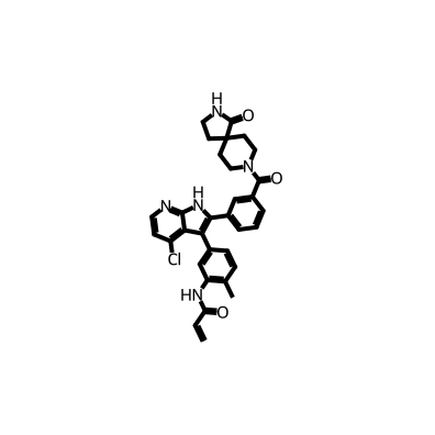 C=CC(=O)Nc1cc(-c2c(-c3cccc(C(=O)N4CCC5(CCNC5=O)CC4)c3)[nH]c3nccc(Cl)c23)ccc1C